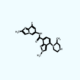 Cc1cn2cc(NC(=O)c3ccc(N4CCNCC4C)c4cn(C)nc34)cc(F)c2n1